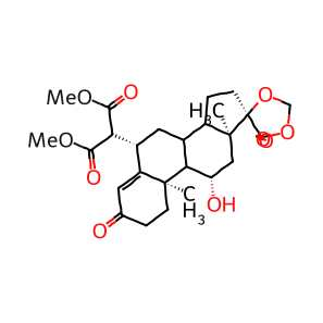 COC(=O)C(C(=O)OC)[C@@H]1CC2C([C@@H](O)C[C@@]3(C)C2CC[C@@]32OCOC23COCO3)[C@@]2(C)CCC(=O)C=C12